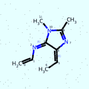 C=C/N=C1\C(=C/C)N=C(C)N1C